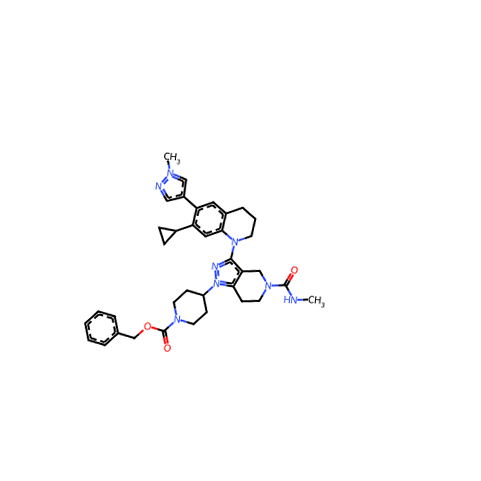 CNC(=O)N1CCc2c(c(N3CCCc4cc(-c5cnn(C)c5)c(C5CC5)cc43)nn2C2CCN(C(=O)OCc3ccccc3)CC2)C1